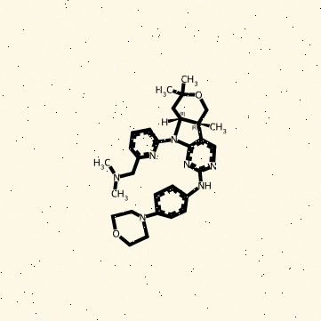 CN(C)Cc1cccc(N2c3nc(Nc4ccc(N5CCOCC5)cc4)ncc3[C@@]3(C)COC(C)(C)C[C@@H]23)n1